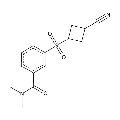 CN(C)C(=O)c1cccc(S(=O)(=O)C2CC(C#N)C2)c1